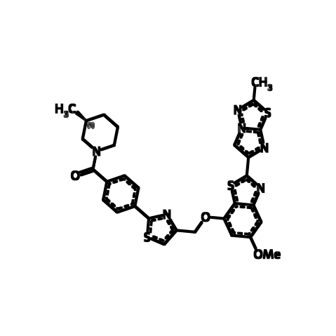 COc1cc(OCc2csc(-c3ccc(C(=O)N4CCC[C@H](C)C4)cc3)n2)c2sc(-c3cn4nc(C)sc4n3)nc2c1